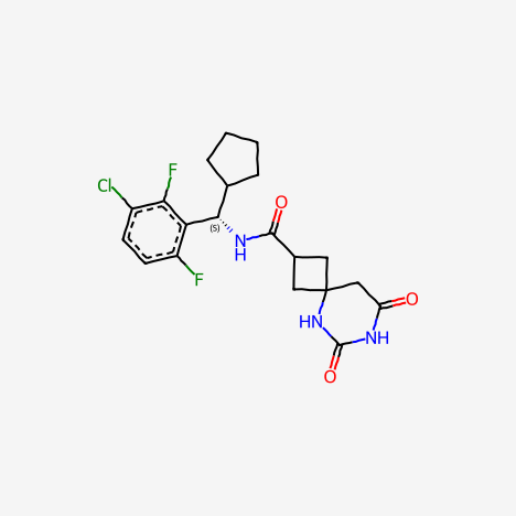 O=C1CC2(CC(C(=O)N[C@H](c3c(F)ccc(Cl)c3F)C3CCCC3)C2)NC(=O)N1